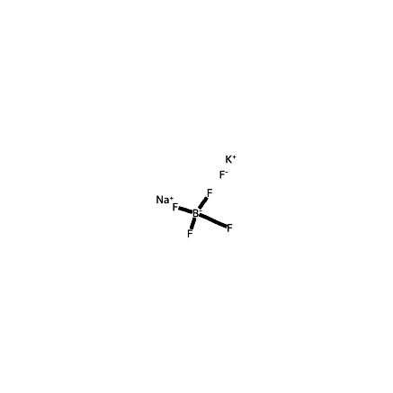 F[B-](F)(F)F.[F-].[K+].[Na+]